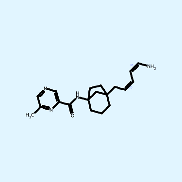 Cc1cncc(C(=O)NC23CCCC(C/C=C\C=C/N)(CC2)C3)n1